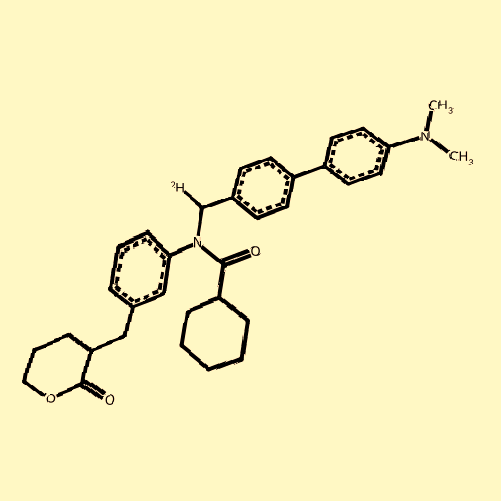 [2H]C(c1ccc(-c2ccc(N(C)C)cc2)cc1)N(C(=O)C1CCCCC1)c1cccc(CC2CCCOC2=O)c1